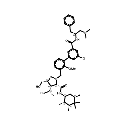 COc1c(CN2O[C@@H](CO)[C@@H]([C@H](C)O)[C@H]2C(=O)N[C@H]2C[C@@H](C)C(C)(C)[C@@H](C)[C@@H]2C)cccc1-c1cc(Cl)cc(C(=O)N[C@@H](Cc2ccccc2)CN(C)C)c1